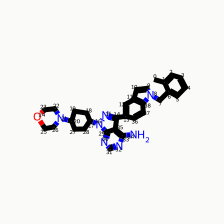 Cc1ccccc1Cn1ccc2cc(-c3nn(C4CCC(N5CCOCC5)CC4)c4ncnc(N)c34)ccc21